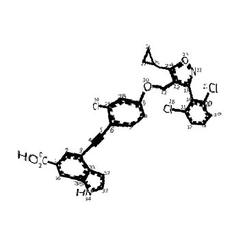 O=C(O)c1cc(C#Cc2ccc(OCc3c(-c4c(Cl)cccc4Cl)noc3C3CC3)cc2Cl)c2cc[nH]c2c1